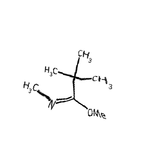 CN=C(OC)C(C)(C)C